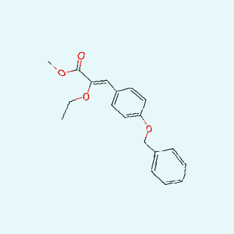 CCO/C(=C\c1ccc(OCc2ccccc2)cc1)C(=O)OC